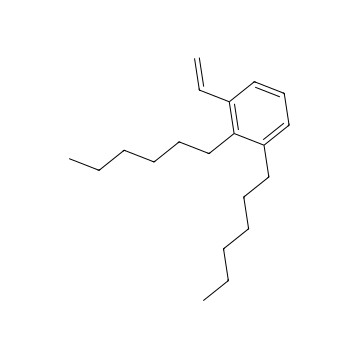 C=Cc1cccc(CCCCCC)c1CCCCCC